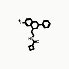 COc1ccc2c(c1)C(CCNC(=O)C1CCC1)CC(c1ccccc1)C2